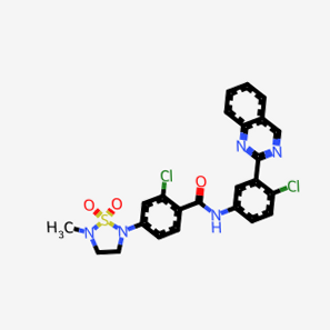 CN1CCN(c2ccc(C(=O)Nc3ccc(Cl)c(-c4ncc5ccccc5n4)c3)c(Cl)c2)S1(=O)=O